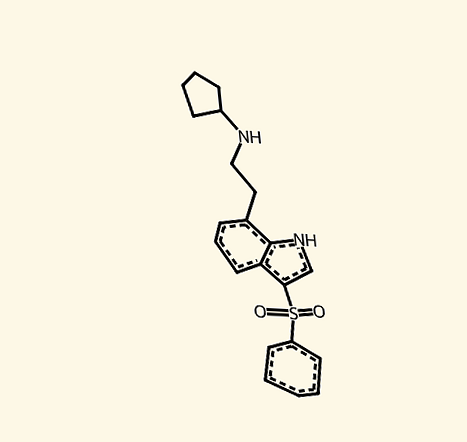 O=S(=O)(c1ccccc1)c1c[nH]c2c(CCNC3CCCC3)cccc12